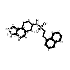 O=S(=O)(CCc1cccc2ccccc12)NC1CCc2c(cnc3[nH]ncc23)C1